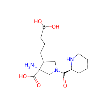 N[C@@]1(C(=O)O)CN(C(=O)[C@@H]2CCCCN2)CC1CCCB(O)O